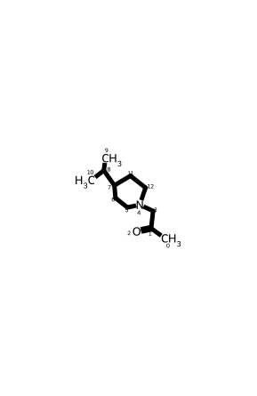 CC(=O)CN1CCC(C(C)C)CC1